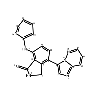 O=C1NCc2c(-c3cnc4cccnn34)ccc(Nc3ccccn3)c21